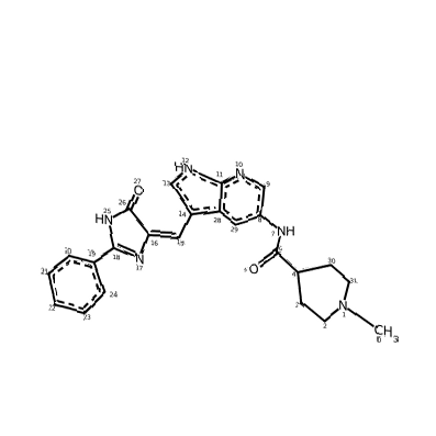 CN1CCC(C(=O)Nc2cnc3[nH]cc(C=C4N=C(c5ccccc5)NC4=O)c3c2)CC1